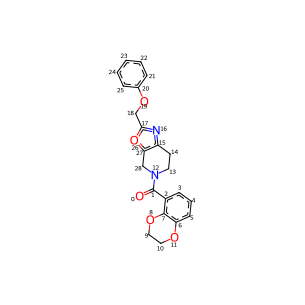 O=C(c1cccc2c1OCCO2)N1CCc2nc(COc3ccccc3)oc2C1